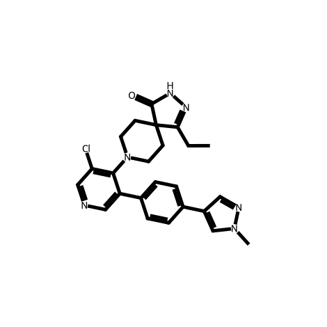 CCC1=NNC(=O)C12CCN(c1c(Cl)cncc1-c1ccc(-c3cnn(C)c3)cc1)CC2